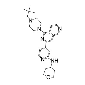 CC(C)(C)CN1CCN(c2nc(-c3ccnc(NC4CCOCC4)c3)cc3cnccc23)CC1